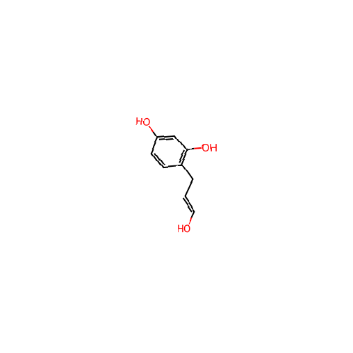 OC=CCc1ccc(O)cc1O